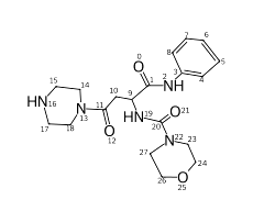 O=C(Nc1ccccc1)C(CC(=O)N1CCNCC1)NC(=O)N1CCOCC1